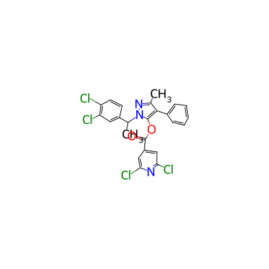 Cc1nn(C(C)c2ccc(Cl)c(Cl)c2)c(OC(=O)c2cc(Cl)nc(Cl)c2)c1-c1ccccc1